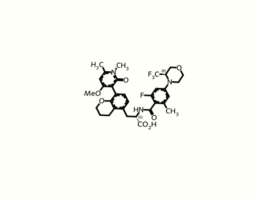 COc1cc(C)n(C)c(=O)c1-c1ccc(C[C@H](NC(=O)c2c(C)cc(N3CCOC[C@@H]3C(F)(F)F)cc2F)C(=O)O)c2c1OCCC2